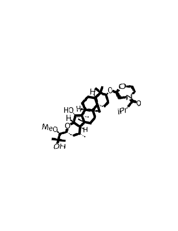 CO[C@@H]([C@H]1C[C@@H](C)[C@H]2[C@H](O1)[C@H](O)[C@@]1(C)[C@@H]3CC[C@H]4C(C)(C)[C@@H](OC5CN(C(=O)C(C)C)CCO5)CC[C@@]45C[C@@]35CC[C@]21C)C(C)(C)O